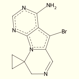 Nc1ncnc2c1c(Br)c1n2C2(CC2)CN=C1